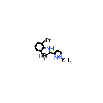 CC(C)c1cccc(C(C)C)c1NC(C)c1ccn(C)n1